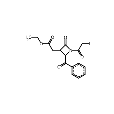 CCOC(=O)CC1C(=O)N(C(=O)CI)C1C(=O)c1ccccc1